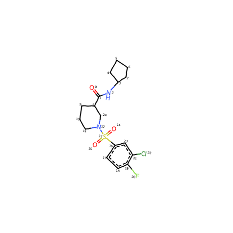 O=C(NC1CCCC1)C1CCCN(S(=O)(=O)c2ccc(F)c(Cl)c2)C1